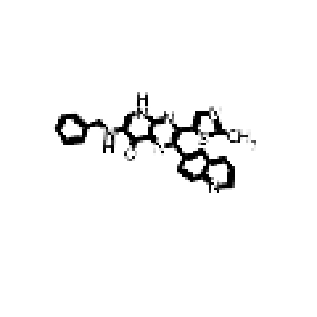 Cc1ncc(-c2nc3[nH]cc(NCc4ccccc4)c(=O)c3nc2-c2ccc3ncccc3c2)s1